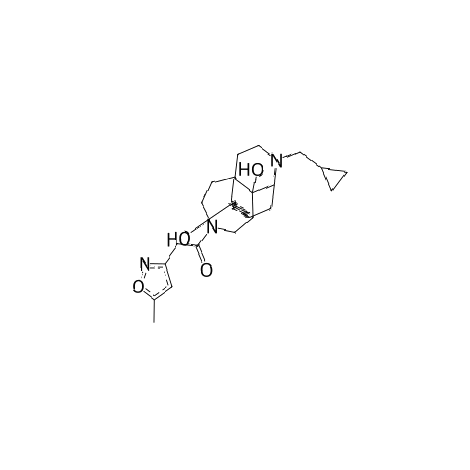 Cc1cc(CC(=O)N2CCC34CCN(CC5CC5)C(Cc5ccc(O)cc53)C4(O)CC2)no1